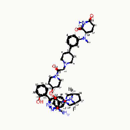 CN(c1cccc(C2CCN(CC(=O)N3CCC(Oc4cccc(N5[C@@H]6CC[C@H]5CN(c5cc(-c7ccccc7O)nnc5N)C6)c4)CC3)CC2)c1)[C@H]1CCC(=O)NC1=O